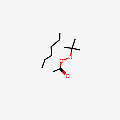 CC(=O)OOC(C)(C)C.CCCCCC